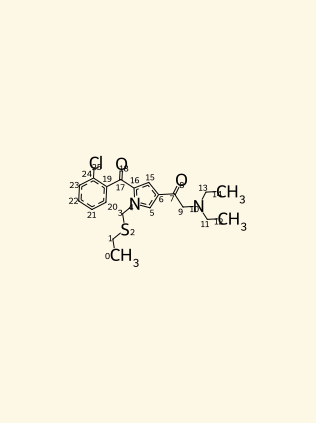 CCSCn1cc(C(=O)CN(CC)CC)cc1C(=O)c1ccccc1Cl